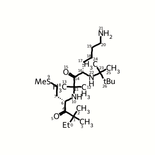 CCC(C)(C)C(=O)[C@H](CCSC)NC(C)(C)C(=O)[C@H](CCCCN)NC(C)(C)C(C)(C)C